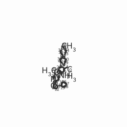 CCc1cc(Nc2cc(N3OCC[C@@H]3c3ccccc3)ncn2)c(OC)cc1N1CCC(N2CCN(C)CC2)CC1